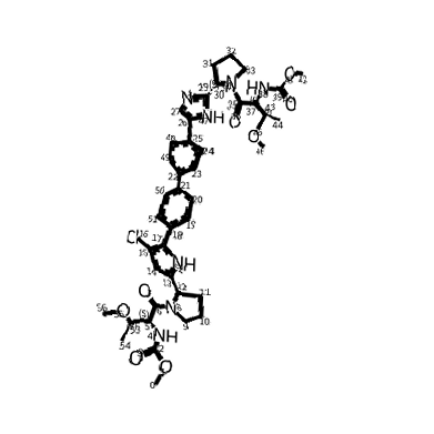 COC(=O)N[C@H](C(=O)N1CCCC1c1cc(Cl)c(-c2ccc(-c3ccc(-c4cnc([C@@H]5CCCN5C(=O)[C@@H](NC(=O)OC)[C@@H](C)OC)[nH]4)cc3)cc2)[nH]1)[C@@H](C)OC